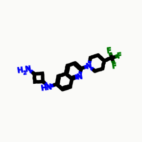 NC1CC(Nc2ccc3nc(N4CCC(C(F)(F)F)CC4)ccc3c2)C1